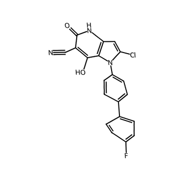 N#Cc1c(O)c2c(cc(Cl)n2-c2ccc(-c3ccc(F)cc3)cc2)[nH]c1=O